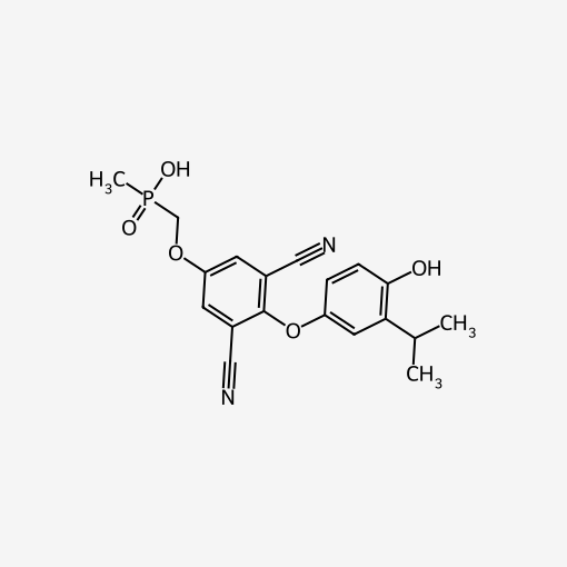 CC(C)c1cc(Oc2c(C#N)cc(OCP(C)(=O)O)cc2C#N)ccc1O